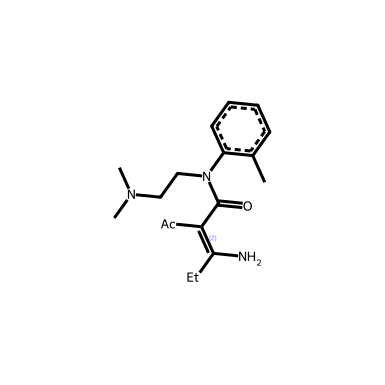 CC/C(N)=C(\C(C)=O)C(=O)N(CCN(C)C)c1ccccc1C